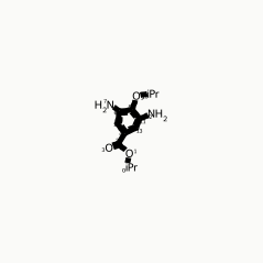 CC(C)OC(=O)c1cc(N)c(OC(C)C)c(N)c1